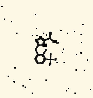 NC(=O)c1nnc(Cc2cccc(C(F)(F)F)c2F)[nH]1